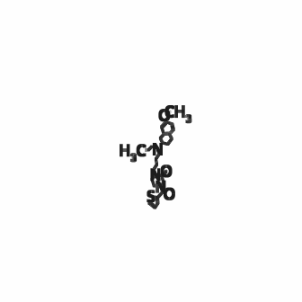 CCCN(CCCCN1CCN(C(=O)c2cccs2)CC1=O)C1CCc2ccc(OC)cc2C1